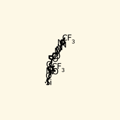 C[Si](C)(C)CCOCn1ncc(OCC2CCC(CC(=O)N3CCN(c4ncc(C(F)(F)F)cn4)CC3)C2=O)c(C(F)(F)F)c1=O